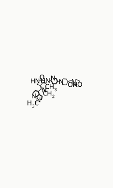 C=N/C(=C1/CNC(=O)/C1=C(/C)Nc1ccc(N2CCC(O)(CN3CCOCC3)CC2)cn1)c1ccnc2c1ccn2C